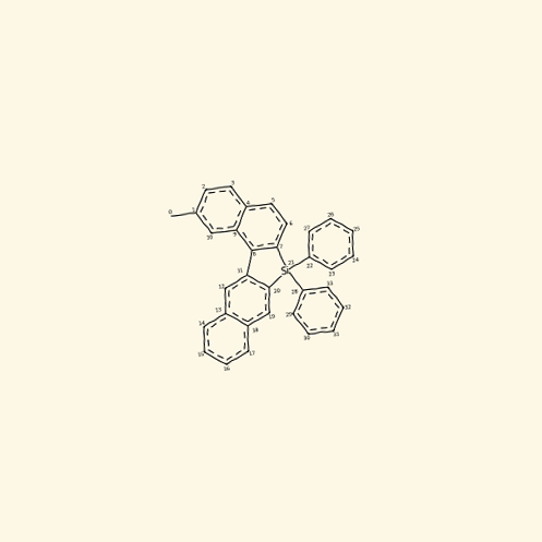 Cc1ccc2ccc3c(c2c1)-c1cc2ccccc2cc1[Si]3(c1ccccc1)c1ccccc1